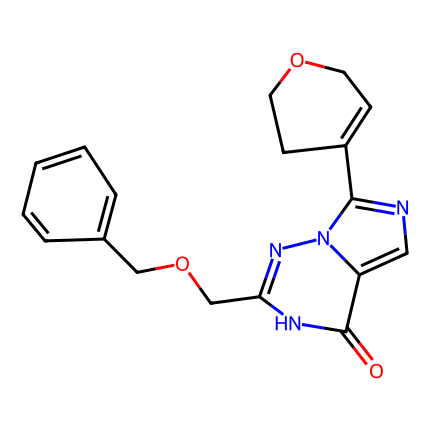 O=c1[nH]c(COCc2ccccc2)nn2c(C3=CCOCC3)ncc12